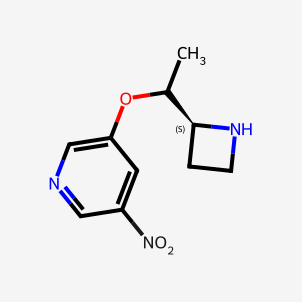 CC(Oc1cncc([N+](=O)[O-])c1)[C@@H]1CCN1